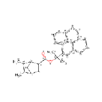 CC1C2CC(C(=O)OC(C)(C)c3cc4cccc5ccc6cccc3c6c54)C(C2)C1C